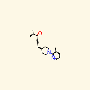 C=C(C)C(=O)C#CC=C1CCN(c2ncccc2C)CC1